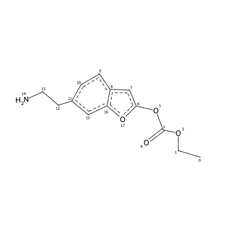 CCOC(=O)Oc1cc2ccc(CCN)cc2o1